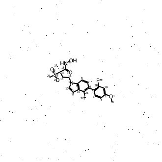 COc1ccc(-c2ccc3c(ccn3CC[C@](C)(C(=O)NO)S(C)(=O)=O)c2F)c(F)c1